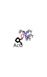 CC(=O)OCc1ccccc1COP(N(C(C)C)C(C)C)N(C(C)C)C(C)C